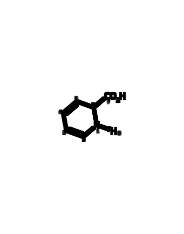 [2H]N1C=CC=CC1C(=O)O